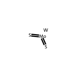 [S]=[Mo]=[S].[W]